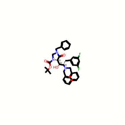 CC(C)(C)OC(=O)N1CN(Cc2ccccc2)C(=O)[C@@H]1[C@@H](O)[C@H](Cc1cc(F)cc(F)c1)N(Cc1ccccc1)Cc1ccccc1